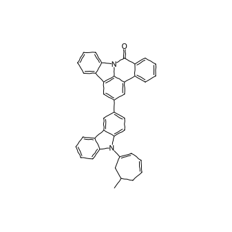 CC1CC=CC=C(n2c3ccccc3c3cc(-c4cc5c6ccccc6c(=O)n6c7ccccc7c(c4)c56)ccc32)C1